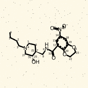 CCCCN1CC[C@@H](CNC(=O)c2cc([N+](=O)[O-])cc3c2OCCO3)[C@H](O)C1